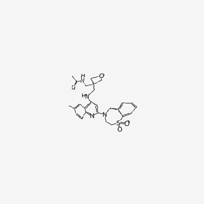 CC(=O)NCC1(CNc2cc(N3CCS(=O)(=O)c4ccccc4C3)nc3ccc(C)cc23)COC1